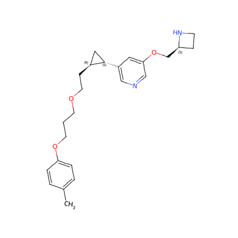 Cc1ccc(OCCCOCC[C@H]2C[C@@H]2c2cncc(OC[C@@H]3CCN3)c2)cc1